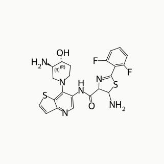 NC1SC(c2c(F)cccc2F)=NC1C(=O)Nc1cnc2ccsc2c1N1CC[C@@H](O)[C@H](N)C1